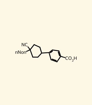 CCCCCCCCCC1(C#N)CCC(c2ccc(C(=O)O)cc2)CC1